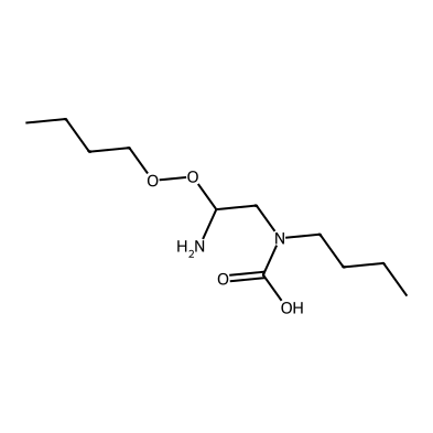 CCCCOOC(N)CN(CCCC)C(=O)O